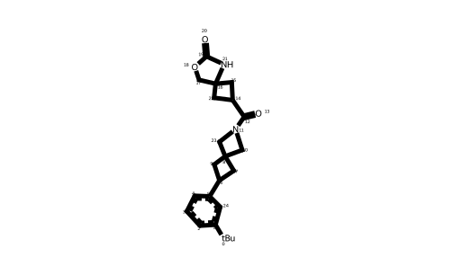 CC(C)(C)c1cccc(C2CC3(C2)CN(C(=O)C2CC4(COC(=O)N4)C2)C3)c1